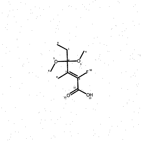 CCC(OC)(OC)C(C)=C(F)C(=O)O